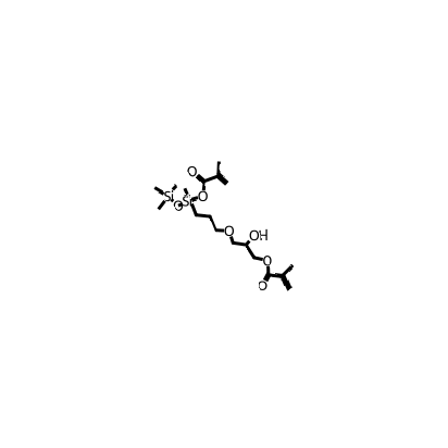 C=C(C)C(=O)OCC(O)COCCC[Si](C)(OC(=O)C(=C)C)O[Si](C)(C)C